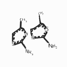 Cc1cnc(N)s1.Cc1csc(N)n1